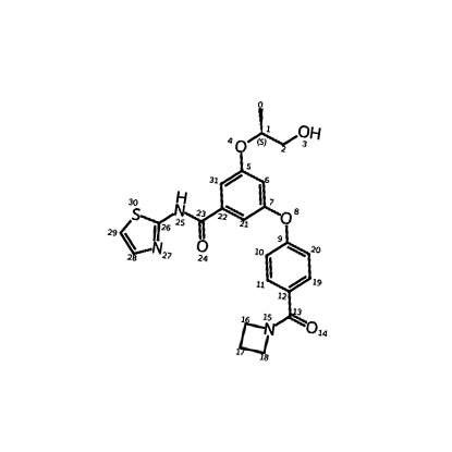 C[C@@H](CO)Oc1cc(Oc2ccc(C(=O)N3CCC3)cc2)cc(C(=O)Nc2nccs2)c1